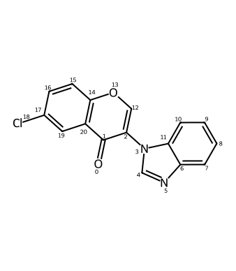 O=c1c(-n2cnc3ccccc32)coc2ccc(Cl)cc12